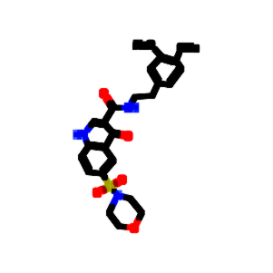 COc1ccc(CCNC(=O)c2c[nH]c3ccc(S(=O)(=O)N4CCOCC4)cc3c2=O)cc1OC